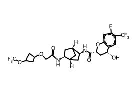 O=C(COC1CC(OC(F)(F)F)C1)N[C@H]1C[C@H]2C[C@@H]1C[C@@H]2NC(=O)[C@H]1C[C@@H](O)c2cc(C(F)(F)F)c(F)cc2O1